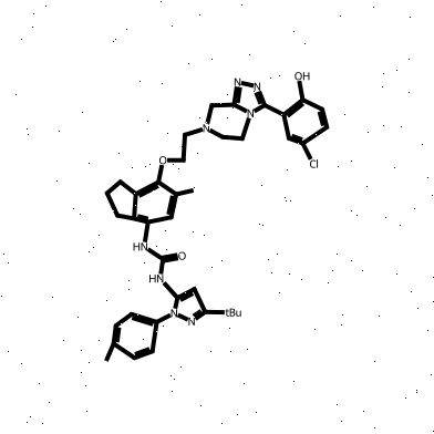 Cc1ccc(-n2nc(C(C)(C)C)cc2NC(=O)Nc2cc(C)c(OCCN3CCn4c(nnc4-c4cc(Cl)ccc4O)C3)c3c2CCC3)cc1